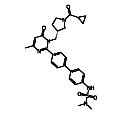 Cc1cc(=O)n(C[C@@H]2CCN(C(=O)C3CC3)C2)c(-c2ccc(-c3ccc(NS(=O)(=O)N(C)C)cc3)cc2)n1